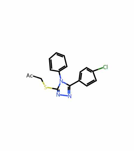 CC(=O)CSc1nnc(-c2ccc(Cl)cc2)n1-c1ccccc1